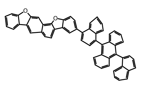 c1ccc2c(-c3c4ccccc4c(-c4ccc(-c5ccc6oc7c8cc9oc%10ccccc%10c9cc8ccc7c6c5)c5ccccc45)c4ccccc34)cccc2c1